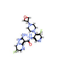 Nc1nn2c(c1C(=O)Nc1cncc(F)c1N1CCN(C3COC3)CC1)N=CC(F)C2